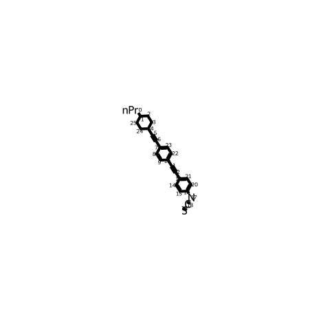 CCCC1CCC(C#Cc2ccc(C#Cc3ccc(N=C=S)cc3)cc2)CC1